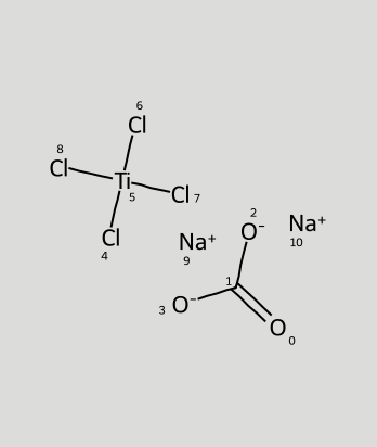 O=C([O-])[O-].[Cl][Ti]([Cl])([Cl])[Cl].[Na+].[Na+]